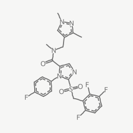 Cc1nn(C)cc1CN(C)C(=O)c1cnc(S(=O)(=O)Cc2c(F)ccc(F)c2F)n1-c1ccc(F)cc1